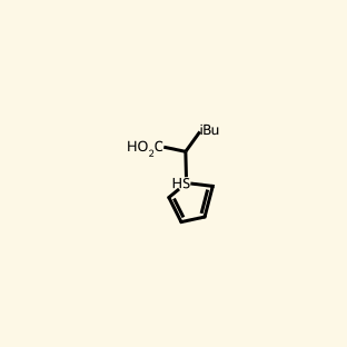 CCC(C)C(C(=O)O)[SH]1C=CC=C1